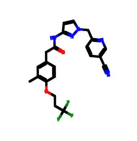 Cc1cc(CC(=O)Nc2ccn(Cc3ccc(C#N)cn3)n2)ccc1OCCC(F)(F)F